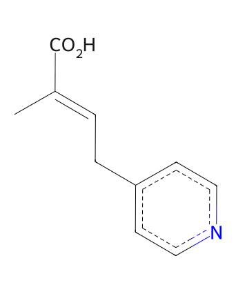 CC(=CCc1ccncc1)C(=O)O